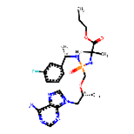 CCCOC(=O)C(C)(C)NP(=O)(CO[C@H](C)Cn1cnc2c(N)ncnc21)N[C@@H](C)c1cccc(F)c1